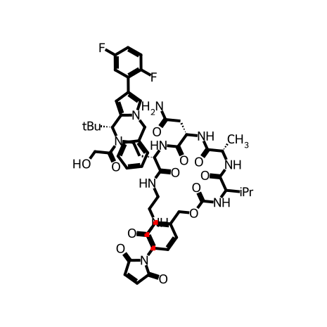 CC(C)C(NC(=O)OCc1ccccc1)C(=O)N[C@@H](C)C(=O)N[C@@H](CC(N)=O)C(=O)N[C@@H](CCN(C(=O)CO)[C@@H](c1cc(-c2cc(F)ccc2F)cn1Cc1ccccc1)C(C)(C)C)C(=O)NCCNC(=O)CN1C(=O)C=CC1=O